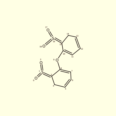 O=S(=O)=C1CC=CC=C1OC1=CC=CCC1=S(=O)=O